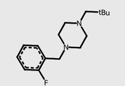 CC(C)(C)CN1CCN(Cc2ccccc2F)CC1